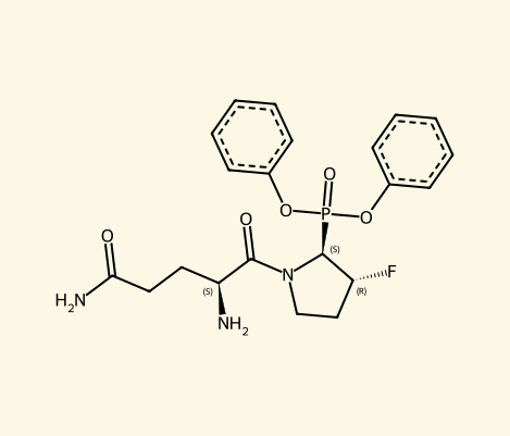 NC(=O)CC[C@H](N)C(=O)N1CC[C@@H](F)[C@@H]1P(=O)(Oc1ccccc1)Oc1ccccc1